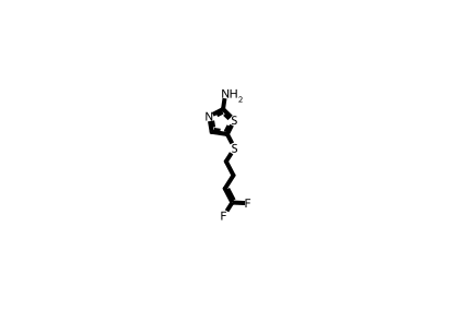 Nc1ncc(SCCC=C(F)F)s1